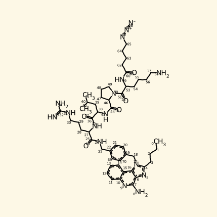 CCCCc1nc2c(N)nc3ccccc3c2n1Cc1ccc(CNC(=O)C(CCCNC(=N)N)NC(=O)C(CC(C)C)NC(=O)C2CCCN2C(=O)C(CCCCN)NC(=O)CCCCN=[N+]=[N-])cc1